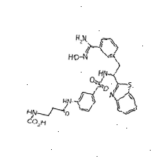 NC(=NO)c1cccc(CC(NS(=O)(=O)c2cccc(NC(=O)CCNC(=O)O)c2)c2nc3ccccc3s2)c1